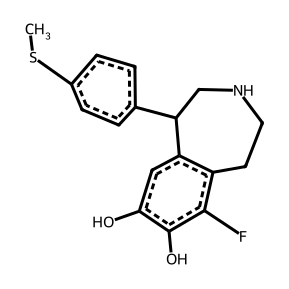 CSc1ccc(C2CNCCc3c2cc(O)c(O)c3F)cc1